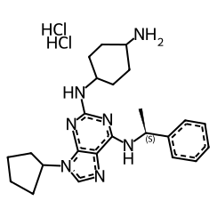 C[C@H](Nc1nc(NC2CCC(N)CC2)nc2c1ncn2C1CCCC1)c1ccccc1.Cl.Cl